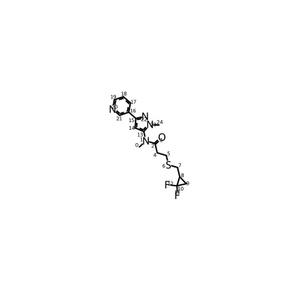 CN(C(=O)CCSCC1CC1(F)F)c1cc(-c2cccnc2)nn1C